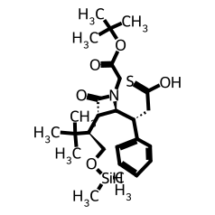 C[SiH](C)OC[C@H]([C@@H]1C(=O)N(CC(=O)OC(C)(C)C)[C@H]1[C@H](CC(O)=S)c1ccccc1)C(C)(C)C